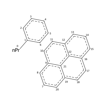 CCCc1ccccc1.c1cc2ccc3cccc4ccc(c1)c2c34